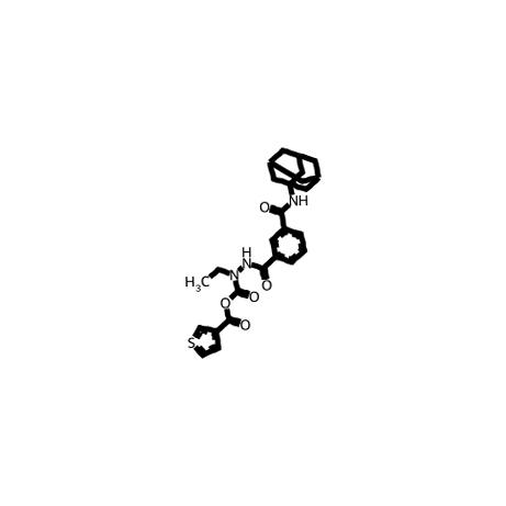 CCN(NC(=O)c1cccc(C(=O)NC23CC4CC(CC(C4)C2)C3)c1)C(=O)OC(=O)c1ccsc1